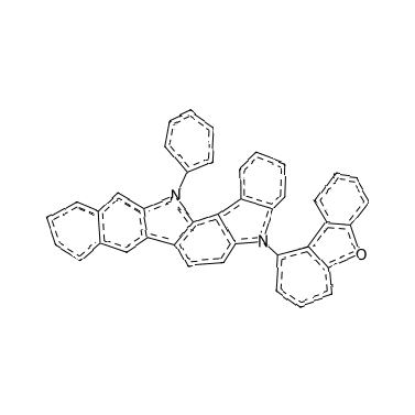 c1ccc(-n2c3cc4ccccc4cc3c3ccc4c(c5ccccc5n4-c4cccc5oc6ccccc6c45)c32)cc1